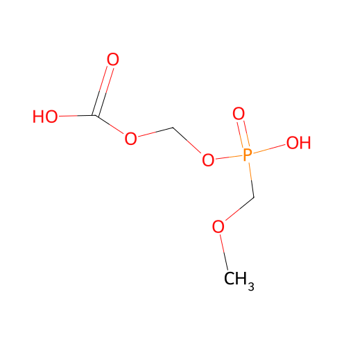 COCP(=O)(O)OCOC(=O)O